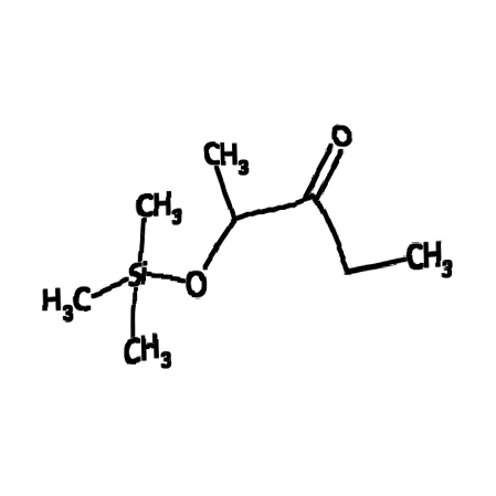 CCC(=O)C(C)O[Si](C)(C)C